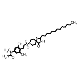 CCCCCCCCCCCCCC1=NC2(CCN(S(=O)(=O)CCc3c(C)cc(N(C)C(N)=O)cc3C)CC2)C(=O)N1